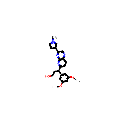 COc1cc(OC)cc(C(CCO)c2ccc3ncc(-c4ccn(C)c4)nc3n2)c1